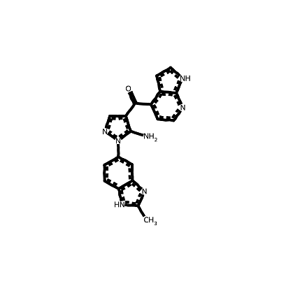 Cc1nc2cc(-n3ncc(C(=O)c4ccnc5[nH]ccc45)c3N)ccc2[nH]1